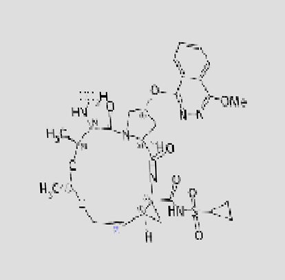 COc1nnc(O[C@@H]2C[C@H]3C(=O)N[C@]4(C(=O)NS(=O)(=O)C5CC5)C[C@H]4/C=C\CC[C@H](C)C[C@@H](C)[C@H](NC(=O)O)C(=O)N3C2)c2ccccc12